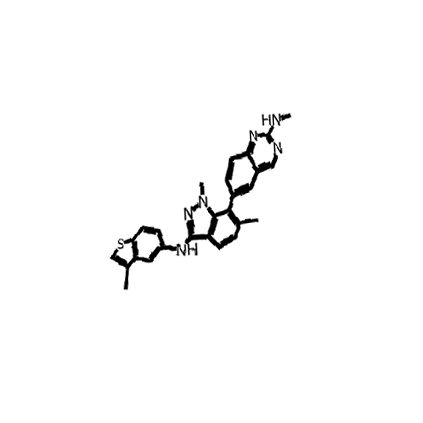 CNc1ncc2cc(-c3c(C)ccc4c(Nc5ccc6scc(C)c6c5)nn(C)c34)ccc2n1